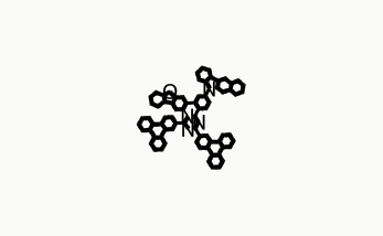 c1ccc2cc3c(cc2c1)c1ccccc1n3-c1ccc(-c2nc(-c3ccc4c5ccccc5c5ccccc5c4c3)nc(-c3ccc4c5ccccc5c5ccccc5c4c3)n2)c(-c2ccc3c(c2)oc2ccccc23)c1